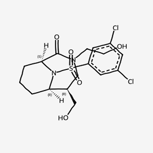 O=C1[C@@H]2CCC[C@H]([C@H](CO)CN1CCO)N2S(=O)(=O)c1cc(Cl)cc(Cl)c1